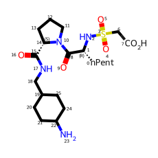 CCCCC[C@@H](NS(=O)(=O)CC(=O)O)C(=O)N1CCC[C@H]1C(=O)NCC1CCC(N)CC1